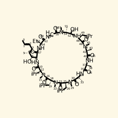 C/C=C/C[C@@H](C)[C@@H](O)[C@@H]1NC(=O)[C@H](C(C)C)N(C)C(=O)[C@@H](CC(C)C)N(C)C(=O)[C@H](CC(C)C)N(C)C(=O)[C@@H](C)NC(=O)[C@H](C)NC(=O)[C@H](C)N(C)C(=O)[C@H](CC(C)C)NC(O)[C@@H](C)N(C)C(=O)CNC(=O)[C@H](CC)NC1=O